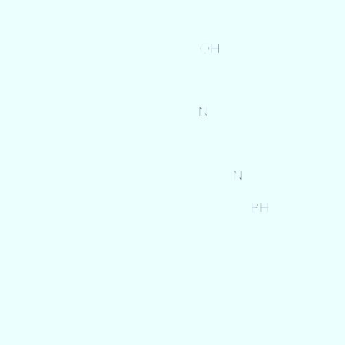 OC(c1ccccc1)N1CCN(Bc2ccccc2)CC1